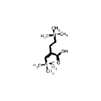 C[N+](C)(C)C=C(CC[N+](C)(C)C)C(=O)O